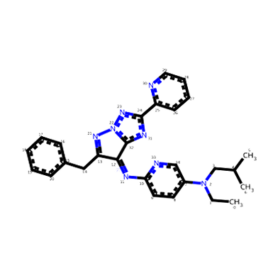 CCN(CC(C)C)c1ccc(/N=C2/C(Cc3ccccc3)=Nn3nc(-c4ccccn4)nc32)nc1